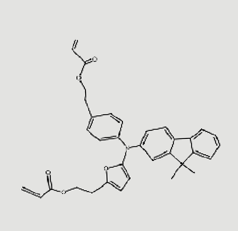 C=CC(=O)OCCc1ccc(N(c2ccc3c(c2)C(C)(C)c2ccccc2-3)c2ccc(CCOC(=O)C=C)o2)cc1